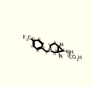 O=C(O)N[C@H]1[C@@H]2CCN(Cc3ccc(C(F)(F)F)cc3)C[C@@H]21